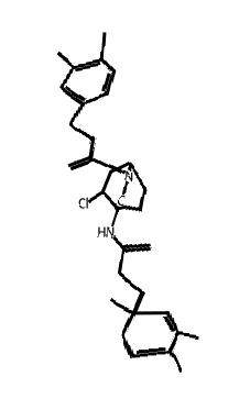 C=C(CCC1(C)C=C(C)C(C)=CC1)NC12CCC(CC1Cl)N(C(=C)CCc1ccc(C)c(C)c1)C2